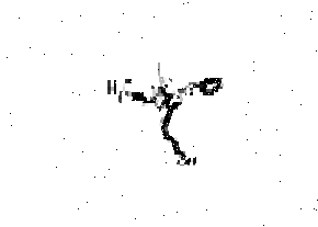 CCCCc1nc(N)c2c(n1)c(C#CCCCCO)cn2COCc1ccccc1